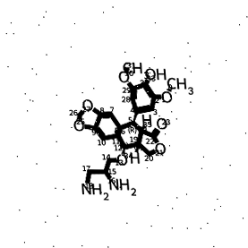 COc1cc([C@@H]2c3cc4c(cc3[C@H](OCC(N)CN)[C@H]3COC(=O)[C@H]23)OCO4)cc(OC)c1O